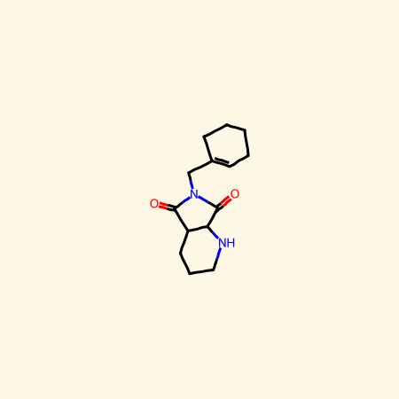 O=C1C2CCCNC2C(=O)N1CC1=CCCCC1